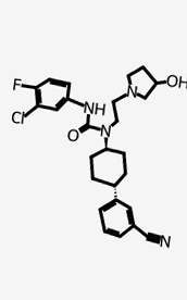 N#Cc1cccc([C@H]2CC[C@H](N(CCN3CCC(O)C3)C(=O)Nc3ccc(F)c(Cl)c3)CC2)c1